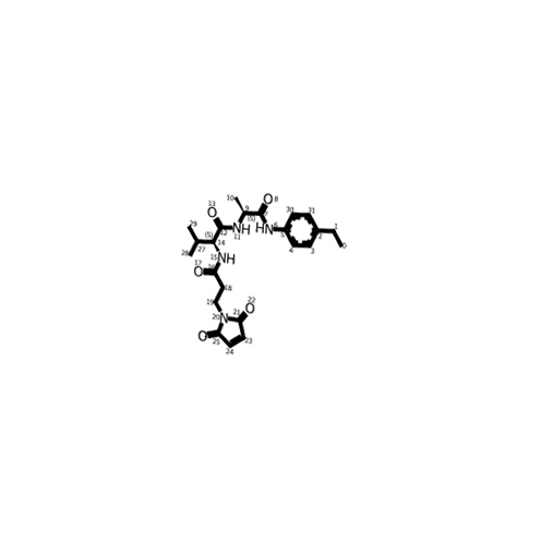 CCc1ccc(NC(=O)[C@H](C)NC(=O)[C@@H](NC(=O)CCN2C(=O)C=CC2=O)C(C)C)cc1